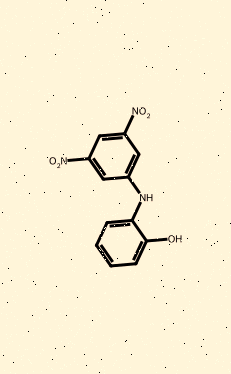 O=[N+]([O-])c1cc(Nc2ccccc2O)cc([N+](=O)[O-])c1